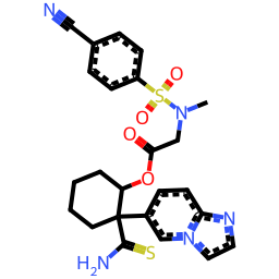 CN(CC(=O)OC1CCCCC1(C(N)=S)c1ccc2nccn2c1)S(=O)(=O)c1ccc(C#N)cc1